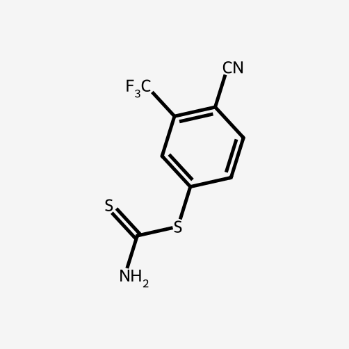 N#Cc1ccc(SC(N)=S)cc1C(F)(F)F